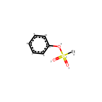 CCS(=O)(=O)Oc1cc[c]cc1